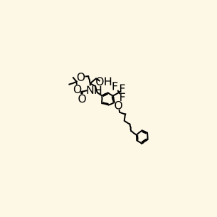 CC1(C)OCC(CO)(CCc2ccc(OCCCCCc3ccccc3)c(C(F)(F)F)c2)NC(=O)O1